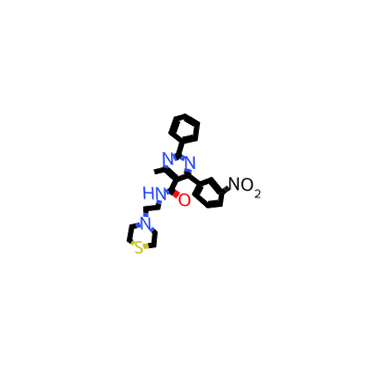 Cc1nc(-c2ccccc2)nc(-c2cccc([N+](=O)[O-])c2)c1C(=O)NCCN1CCSCC1